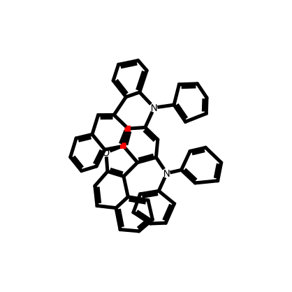 c1ccc(N(c2cc(N(c3ccccc3)c3ccccc3)c3c(c2)oc2ccc4ccccc4c23)c2ccccc2-c2ccc3ccccc3c2)cc1